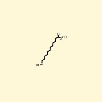 O=C(CCCCCCCCCCCOO)OO